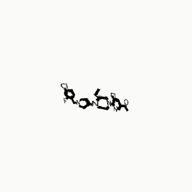 CC[C@H]1CN(c2ncc(C(C)=O)cc2Cl)CCN1C1CCN(Cc2ccc(Cl)cc2F)CC1